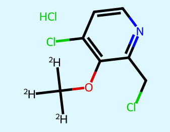 Cl.[2H]C([2H])([2H])Oc1c(Cl)ccnc1CCl